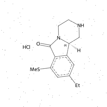 CCc1cc(SC)c2c(c1)[C@@H]1CNCCN1C2=O.Cl